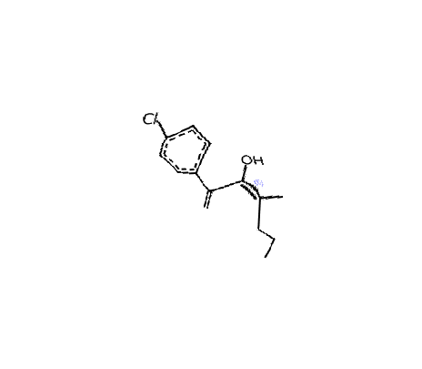 C=C(/C(O)=C(/C)CCC)c1ccc(Cl)cc1